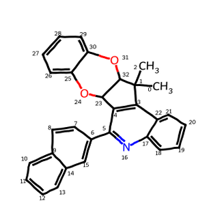 CC1(C)c2c(c(-c3ccc4ccccc4c3)nc3ccccc23)C2Oc3ccccc3OC21